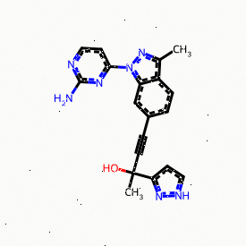 Cc1nn(-c2ccnc(N)n2)c2cc(C#CC(C)(O)c3cc[nH]n3)ccc12